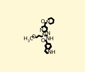 COCCCn1c(NC(=O)c2ccc3[nH]ccc3c2)nc2cc(C(=O)N3CCCCC3)cnc21